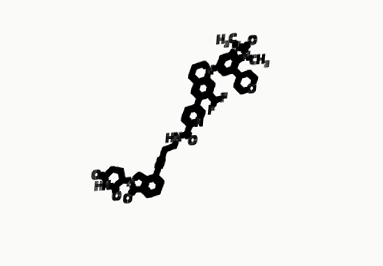 Cn1c(=O)n(C)c2c(C3CCOCC3)cc(N3CCCc4cc(-c5ccc(C(=O)NCCC#Cc6cccc7c6CN(C6CCC(=O)NC6=O)C7=O)nc5)c(C(F)F)cc43)cc21